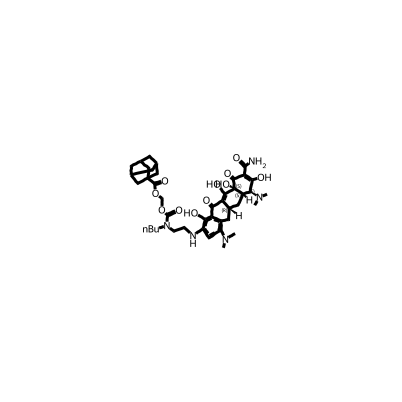 CCCCN(CCNc1cc(N(C)C)c2c(c1O)C(=O)C1=C(O)[C@]3(O)C(=O)C(C(N)=O)=C(O)[C@@H](N(C)C)[C@@H]3C[C@@H]1C2)C(=O)OCOC(=O)C12CC3CC(CC(C3)C1)C2